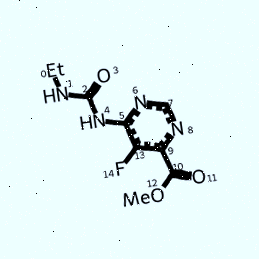 CCNC(=O)Nc1ncnc(C(=O)OC)c1F